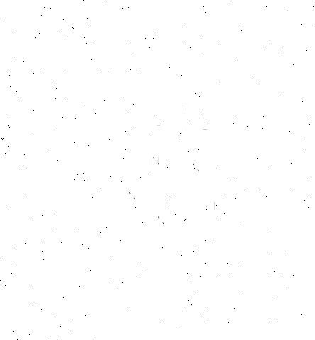 C[CH]c1nc2c(Cl)nc(C(F)(F)F)nc2n1CC